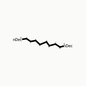 CCCCCCCCCCCCCCCCCCCCCCCCCCCC